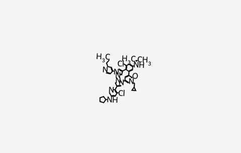 CCCc1cc(-n2cc(-c3c(Cl)cc(NC(C)C)cc3-c3cc(-n4cc(-c5ncc(NC6CCCC6)cc5Cl)cn4)cn(CC4CC4)c3=O)cn2)ccn1